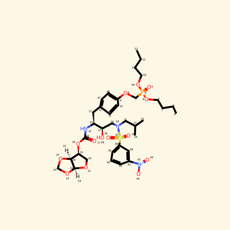 CCCCOP(=O)(COc1ccc(C[C@H](NC(=O)O[C@H]2CO[C@H]3OCO[C@H]32)[C@H](O)CN(CC(C)C)S(=O)(=O)c2cccc([N+](=O)[O-])c2)cc1)OCCCC